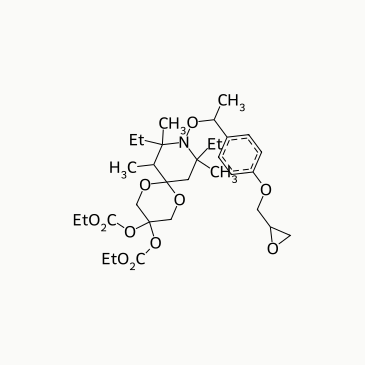 CCOC(=O)OC1(OC(=O)OCC)COC2(CC(C)(CC)N(OC(C)c3ccc(OCC4CO4)cc3)C(C)(CC)C2C)OC1